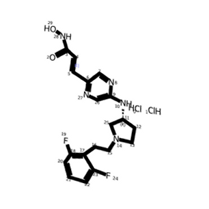 Cl.Cl.O=C(/C=C/c1cnc(N[C@@H]2CCN(CCc3c(F)cccc3F)C2)cn1)NO